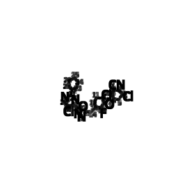 N#Cc1cc(Cl)cc(Oc2c(Cl)ccc(Cc3nnc(-c4nc(-c5ccccc5)ncc4Cl)o3)c2F)c1